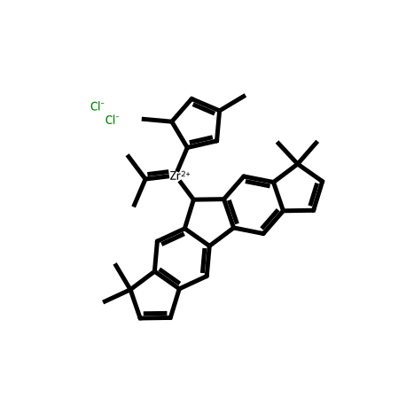 CC1=CC(C)[C]([Zr+2](=[C](C)C)[CH]2c3cc4c(cc3-c3cc5c(cc32)C(C)(C)C=C5)C=CC4(C)C)=C1.[Cl-].[Cl-]